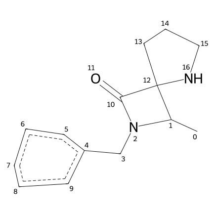 CC1N(Cc2ccccc2)C(=O)C12CCCN2